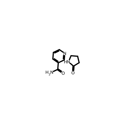 NC(=O)c1cccnc1.O=C1CCCN1